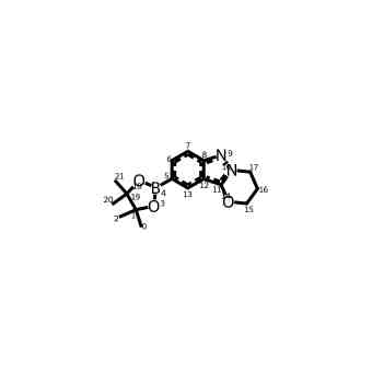 CC1(C)OB(c2ccc3nn4c(c3c2)OCCC4)OC1(C)C